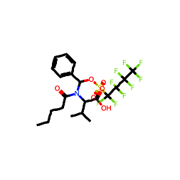 CCCCC(=O)N(C(OS(=O)(=O)C(F)(F)C(F)(F)C(F)(F)C(F)(F)F)c1ccccc1)C(C(=O)O)C(C)C